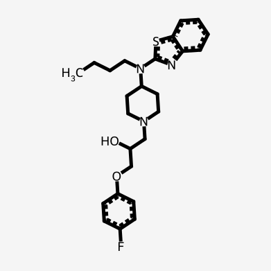 CCCCN(c1nc2ccccc2s1)C1CCN(CC(O)COc2ccc(F)cc2)CC1